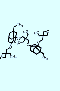 CCC1(COC23CC4CC(CC)(C2)CC(OCC(CC)(CO)COC25CC6CC(CC)(CC(OCC7(CC)COC7)(C6)C2)C5)(C4)C3)COC1